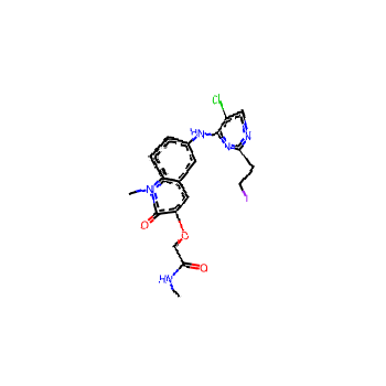 CNC(=O)COc1cc2cc(Nc3nc(CCI)ncc3Cl)ccc2n(C)c1=O